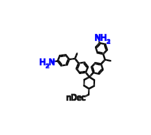 CCCCCCCCCCCC1CCC(c2ccc(C(C)c3ccc(N)cc3)cc2)(c2ccc(C(C)c3ccc(N)cc3)cc2)CC1